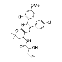 COc1ccc(-c2nc3c(cc2-c2ccc(Cl)cc2)C(NC(=O)C(O)CC(C)C)CC(C)(C)O3)c(Cl)c1